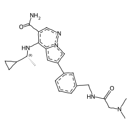 C[C@@H](Nc1c(C(N)=O)cnn2cc(-c3cccc(CNC(=O)CN(C)C)c3)cc12)C1CC1